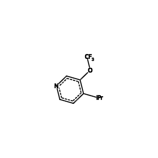 CC(C)c1ccncc1OC(F)(F)F